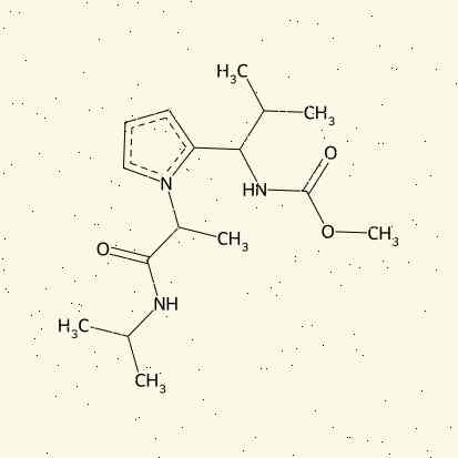 COC(=O)NC(c1cccn1C(C)C(=O)NC(C)C)C(C)C